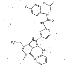 Cn1cc(CC(F)(F)F)c2[nH]c(-c3ccnc(NC(=O)[C@@H](CC(F)F)c4ccc(F)cc4)c3)c(Nc3ccccc3)c2c1=O